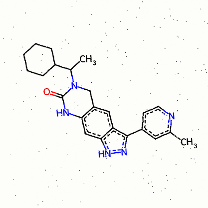 Cc1cc(-c2n[nH]c3cc4c(cc23)CN(C(C)C2CCCCC2)C(=O)N4)ccn1